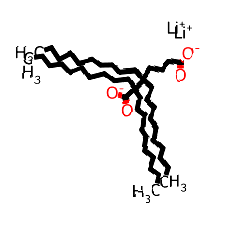 CCCCCCCCCCC(CCCCCCCCCC)(CCCC(=O)[O-])C(CCCCCCCCCC)(CCCCCCCCCC)C(=O)[O-].[Li+].[Li+]